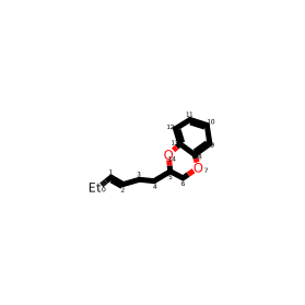 [CH2]CC=CCCC1COc2ccccc2O1